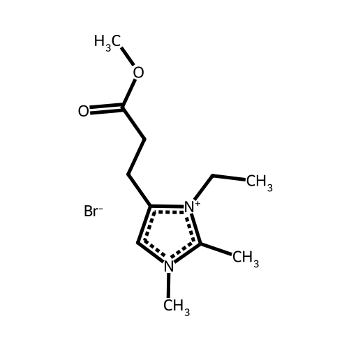 CC[n+]1c(CCC(=O)OC)cn(C)c1C.[Br-]